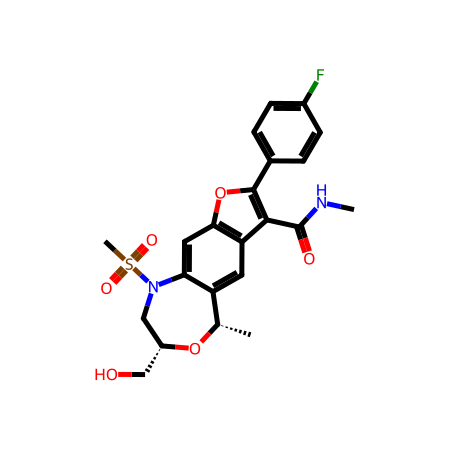 CNC(=O)c1c(-c2ccc(F)cc2)oc2cc3c(cc12)[C@H](C)O[C@H](CO)CN3S(C)(=O)=O